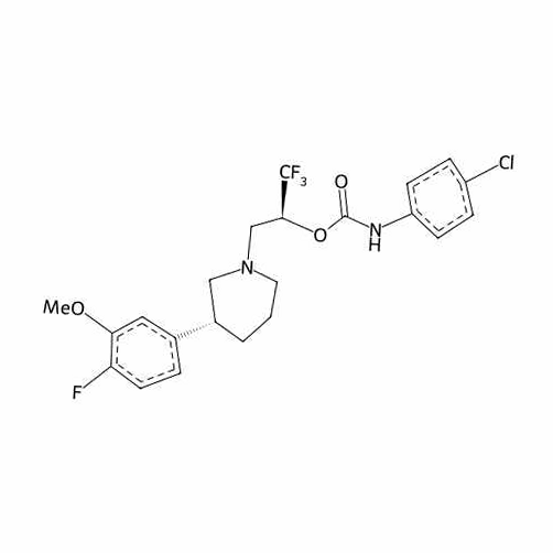 COc1cc([C@H]2CCCN(C[C@H](OC(=O)Nc3ccc(Cl)cc3)C(F)(F)F)C2)ccc1F